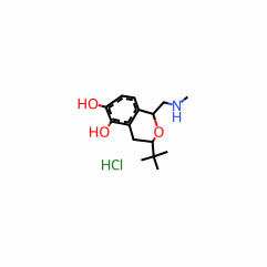 CNCC1OC(C(C)(C)C)Cc2c1ccc(O)c2O.Cl